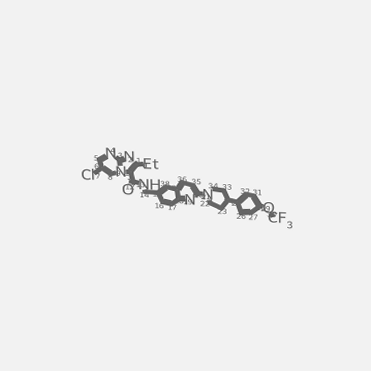 CCc1nc2ncc(Cl)cn2c1C(=O)NCc1ccc2nc(N3CCC(c4ccc(OC(F)(F)F)cc4)CC3)ccc2c1